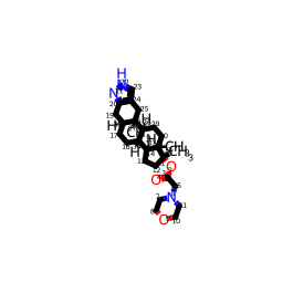 CC1(OC(=O)CN2CCOCC2)CC[C@H]2[C@@H]3CC[C@H]4Cc5n[nH]cc5C[C@]4(C)[C@H]3CC[C@@]21C